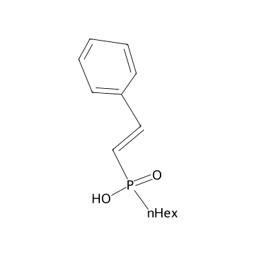 CCCCCCP(=O)(O)C=Cc1ccccc1